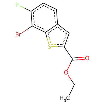 CCOC(=O)c1cc2ccc(F)c(Br)c2s1